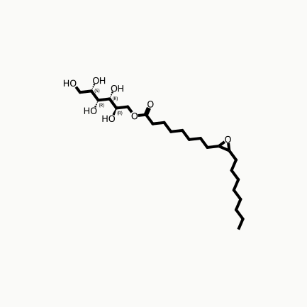 CCCCCCCCC1OC1CCCCCCCC(=O)OC[C@@H](O)[C@@H](O)[C@H](O)[C@@H](O)CO